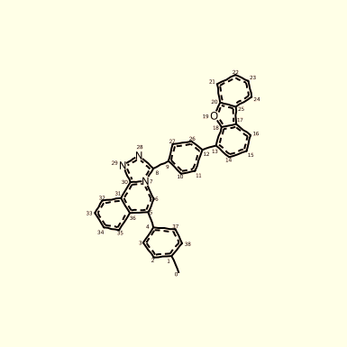 Cc1ccc(-c2cn3c(-c4ccc(-c5cccc6c5oc5ccccc56)cc4)nnc3c3ccccc23)cc1